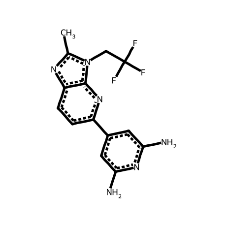 Cc1nc2ccc(-c3cc(N)nc(N)c3)nc2n1CC(F)(F)F